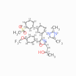 Cc1nc(C(F)(F)F)cn1-c1ccc(-c2cccc(S(C)(=O)=O)c2)cc1-c1nc(CC(C)O)oc1-c1ccc(OC(F)(F)F)cc1